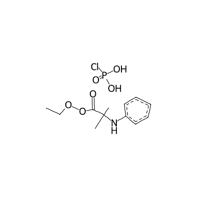 CCOOC(=O)C(C)(C)Nc1ccccc1.O=P(O)(O)Cl